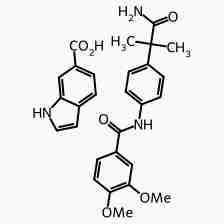 COc1ccc(C(=O)Nc2ccc(C(C)(C)C(N)=O)cc2)cc1OC.O=C(O)c1ccc2cc[nH]c2c1